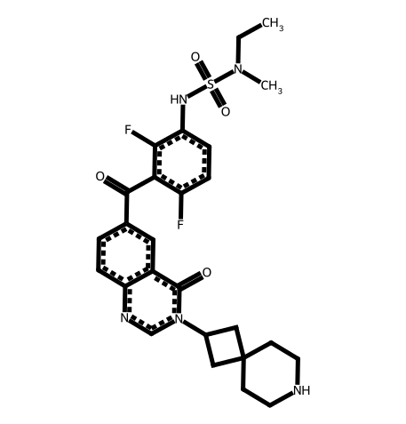 CCN(C)S(=O)(=O)Nc1ccc(F)c(C(=O)c2ccc3ncn(C4CC5(CCNCC5)C4)c(=O)c3c2)c1F